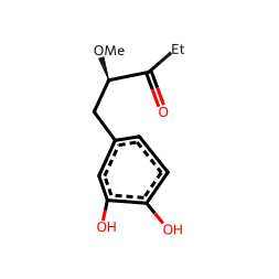 CCC(=O)[C@@H](Cc1ccc(O)c(O)c1)OC